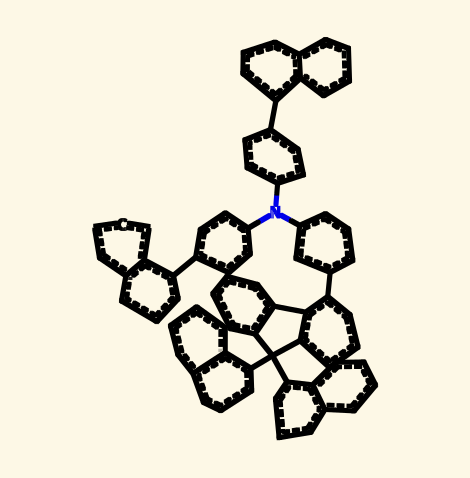 c1cc(-c2cccc3c2-c2ccccc2C3(c2cccc3ccccc23)c2cccc3ccccc23)cc(N(c2ccc(-c3cccc4ccccc34)cc2)c2ccc(-c3cccc4ccccc34)cc2)c1